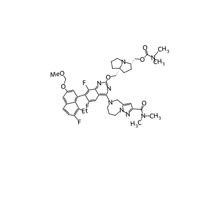 CCc1c(F)ccc2cc(OCOC)cc(-c3c(F)cc4c(N5CCCn6nc(C(=O)N(C)C)cc6C5)nc(OC[C@]56CCCN5[C@H](COC(=O)N(C)C)CC6)nc4c3F)c12